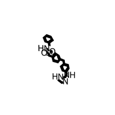 O=S(=O)(Cc1ccc(Cc2ccc(NC3=NCCN3)cc2)cc1)NCc1ccccc1